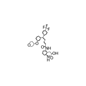 O=C(C=CC=C(c1ccc(C(F)(F)F)cc1)c1cccc(OC2CCOCC2)c1)Nc1cccc2c1CC(O)C(=O)N2